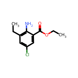 CCOC(=O)c1cc(Cl)cc(CC)c1N